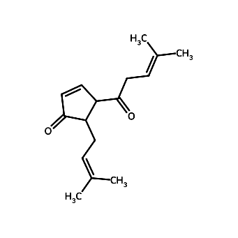 CC(C)=CCC(=O)C1C=CC(=O)C1CC=C(C)C